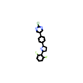 Fc1cccc(F)c1C1=NC(c2ccc(-c3cnc(Cl)nc3)cc2)CC1